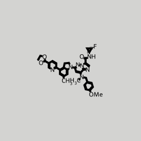 COc1ccc(CN(C)c2cc(N3CCc4c(-c5ccc(C6OCCO6)cn5)cc(C)cc43)nn3c(C(=O)N[C@@H]4C[C@@H]4F)cnc23)cc1